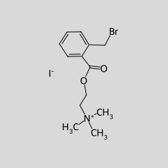 C[N+](C)(C)CCOC(=O)c1ccccc1CBr.[I-]